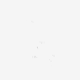 Cn1ncc2c1CN[C@H]2C(=O)Nc1ccc(-n2ccccc2=O)cc1